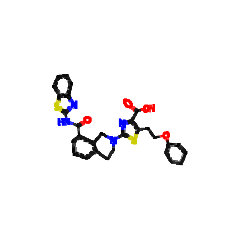 O=C(Nc1nc2ccccc2s1)c1cccc2c1CN(c1nc(C(=O)O)c(CCOc3ccccc3)s1)CC2